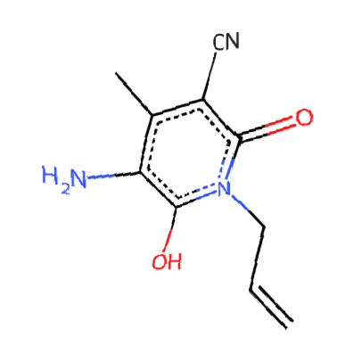 C=CCn1c(O)c(N)c(C)c(C#N)c1=O